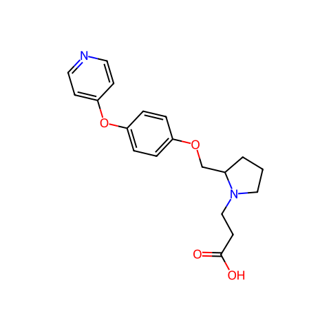 O=C(O)CCN1CCCC1COc1ccc(Oc2ccncc2)cc1